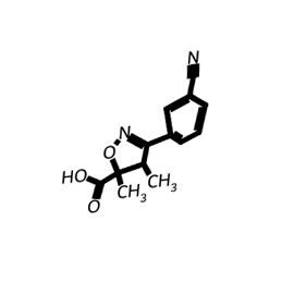 CC1C(c2cccc(C#N)c2)=NOC1(C)C(=O)O